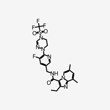 CCc1nc2c(C)cc(C)cn2c1C(=O)NCc1cnc(N2CCN(S(=O)(=O)C(F)(F)F)C=N2)c(F)c1